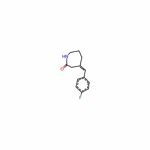 O=C1CC(=Cc2ccc(F)cc2)CCCN1